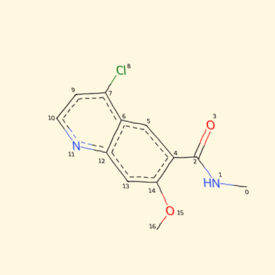 CNC(=O)c1cc2c(Cl)ccnc2cc1OC